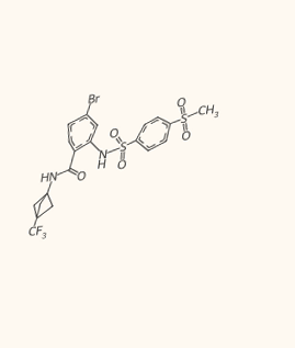 CS(=O)(=O)c1ccc(S(=O)(=O)Nc2cc(Br)ccc2C(=O)NC23CC(C(F)(F)F)(C2)C3)cc1